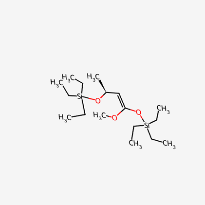 CC[Si](CC)(CC)OC(=C[C@H](C)O[Si](CC)(CC)CC)OC